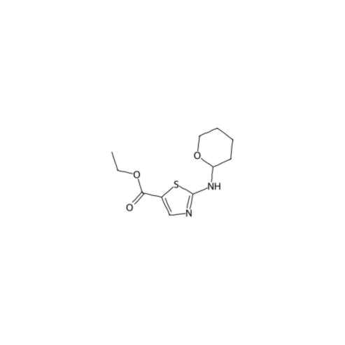 CCOC(=O)c1cnc(NC2CCCCO2)s1